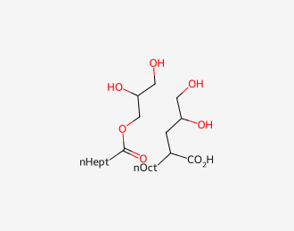 CCCCCCCC(=O)OCC(O)CO.CCCCCCCCC(CC(O)CO)C(=O)O